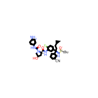 CC(C)(C)[S@@+]([O-])NC(CCC1CC1)(c1cccc(C#N)c1)c1ccc(F)c(NC(=O)[C@H]2C[C@@H](O)CN2C(=O)Nc2ccc(N)cc2)c1